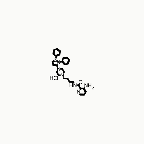 Cl.Nc1cccnc1C(=O)NCCCCN1CCN(C2=CC=S(c3ccccc3)N2c2ccccc2)CC1